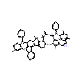 C=C/C=C\c1oc2c(c1C)Cc1ccc3c(c1C(C)(C)C(=C)/C=C\2N(c1ccccc1)c1ccc(C)cc1C)C(C)(C)c1cc(N(c2ccccc2)c2ccc(C)cc2C)c2oc4ccccc4c2c1-3